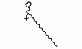 CC(C)(C)CC(COCCCCCCCCCCCCCCCCF)OCc1ccccc1